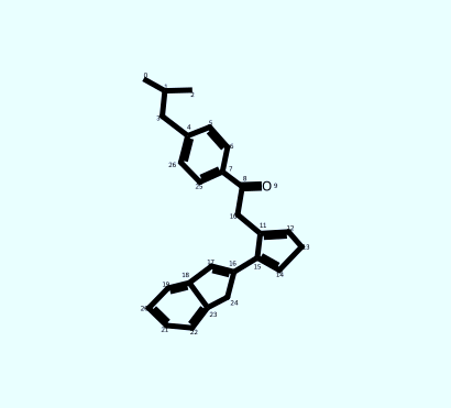 CC(C)Cc1ccc(C(=O)CC2=CCC=C2C2=Cc3ccccc3C2)cc1